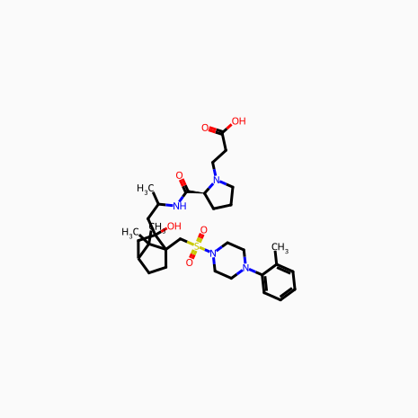 Cc1ccccc1N1CCN(S(=O)(=O)CC23CCC(CC2(O)CC(C)NC(=O)[C@@H]2CCCN2CCC(=O)O)C3(C)C)CC1